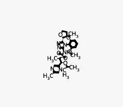 COc1cccc(OC)c1-n1c(NS(=O)(=O)[C@H](C)[C@H](OC(C)C)c2cnc(C)cn2)nnc1[C@H]1CCCO1